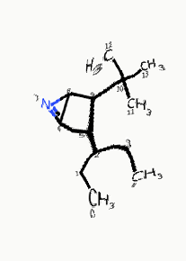 CCC(CC)C1C2=NC2C1C(C)(C)C